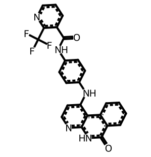 O=C(Nc1ccc(Nc2ccnc3[nH]c(=O)c4ccccc4c23)cc1)c1cccnc1C(F)(F)F